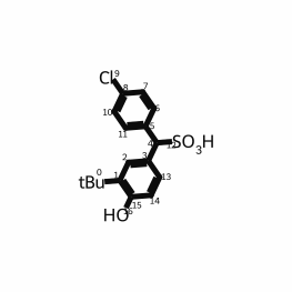 CC(C)(C)c1cc(C(c2ccc(Cl)cc2)S(=O)(=O)O)ccc1O